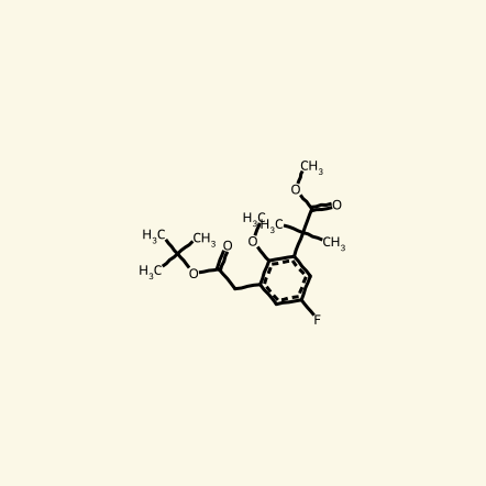 COC(=O)C(C)(C)c1cc(F)cc(CC(=O)OC(C)(C)C)c1OC